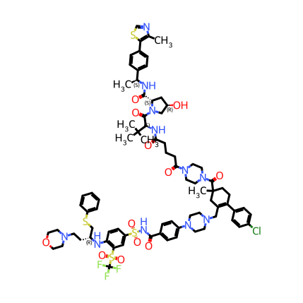 Cc1ncsc1-c1ccc([C@H](C)NC(=O)[C@@H]2C[C@@H](O)CN2C(=O)[C@@H](NC(=O)CCCC(=O)N2CCN(C(=O)C3(C)CCC(c4ccc(Cl)cc4)=C(CN4CCN(c5ccc(C(=O)NS(=O)(=O)c6ccc(N[C@H](CCN7CCOCC7)CSc7ccccc7)c(S(=O)(=O)C(F)(F)F)c6)cc5)CC4)C3)CC2)C(C)(C)C)cc1